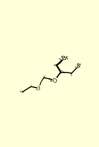 CCOCOC(CBr)CBr